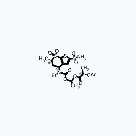 CCN(C(=O)OC(C)OC(=O)[C@H](C)OC(C)=O)[C@H]1C[C@H](C)S(=O)(=O)c2sc(S(N)(=O)=O)cc21